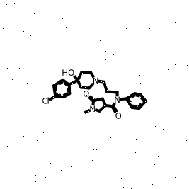 CN1CC(C(=O)N(CCCN2CCC(O)(c3ccc(Cl)cc3)CC2)c2ccccc2)CC1=O